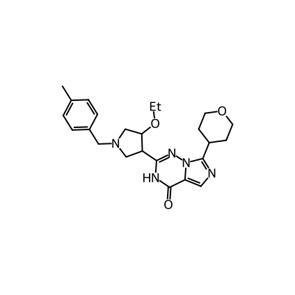 CCOC1CN(Cc2ccc(C)cc2)CC1c1nn2c(C3CCOCC3)ncc2c(=O)[nH]1